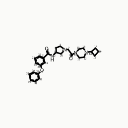 O=C(NC1CCN(CC(=O)N2CCN(C3CCC3)CC2)C1)c1cccc(Oc2ccccc2)c1